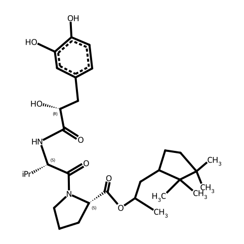 CC(CC1CCC(C)(C)C1(C)C)OC(=O)[C@@H]1CCCN1C(=O)[C@@H](NC(=O)[C@H](O)Cc1ccc(O)c(O)c1)C(C)C